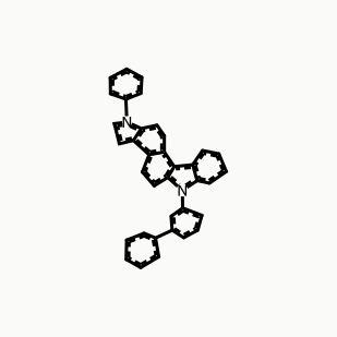 c1ccc(-c2cccc(-n3c4ccccc4c4c5ccc6c(ccn6-c6ccccc6)c5ccc43)c2)cc1